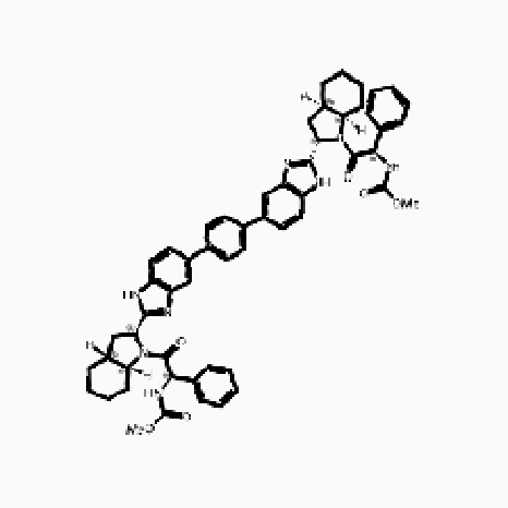 COC(=O)N[C@@H](C(=O)N1[C@@H]2CCCC[C@@H]2C[C@H]1c1nc2cc(-c3ccc(-c4ccc5[nH]c([C@@H]6C[C@H]7CCCC[C@H]7N6C(=O)[C@H](NC(=O)OC)c6ccccc6)nc5c4)cc3)ccc2[nH]1)c1ccccc1